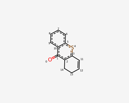 O=c1c2c(sc3ccccc13)C=CCC2